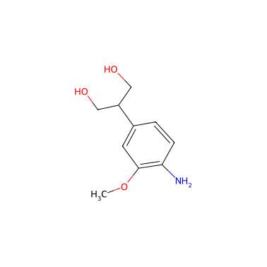 COc1cc(C(CO)CO)ccc1N